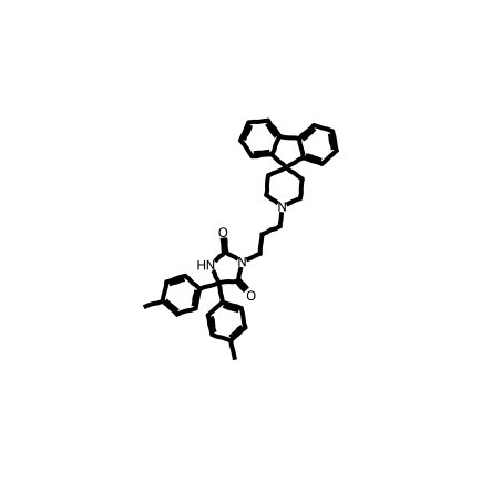 Cc1ccc(C2(c3ccc(C)cc3)NC(=O)N(CCCN3CCC4(CC3)c3ccccc3-c3ccccc34)C2=O)cc1